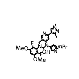 CCCn1cc(N2c3cc(-c4cn(C)nc4C)ncc3CN(c3c(F)c(OC)cc(OC)c3F)C2O)cn1